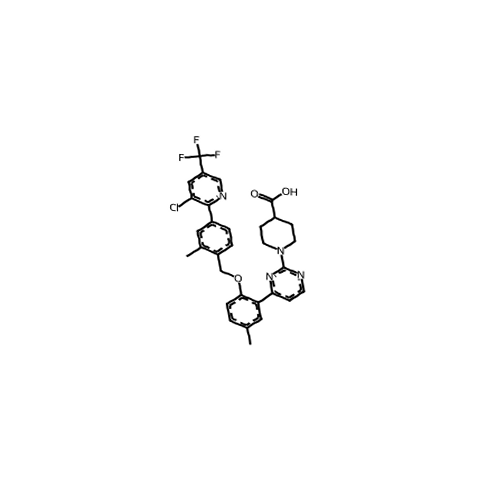 Cc1ccc(OCc2ccc(-c3ncc(C(F)(F)F)cc3Cl)cc2C)c(-c2ccnc(N3CCC(C(=O)O)CC3)n2)c1